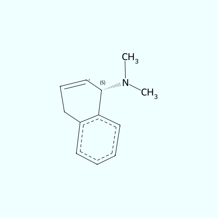 CN(C)[C@H]1[C]=CCc2ccccc21